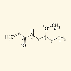 C=CC(=O)NCC(CC)OC